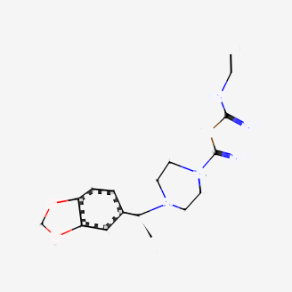 CCNC(=N)SC(=N)N1CCN([C@@H](C)c2ccc3c(c2)OCO3)CC1